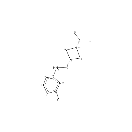 Cc1cccc(NC[C@H]2C[C@@H](C(C)C)C2)n1